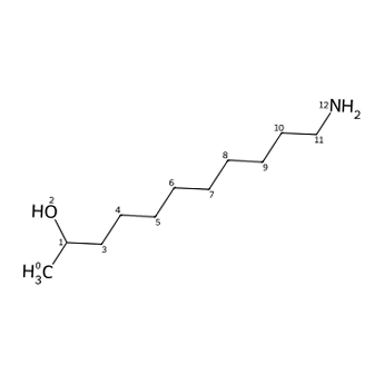 CC(O)CCCCCCCCCN